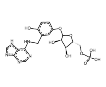 O=P(O)(O)OC[C@H]1OC(Oc2ccc(O)c(CNc3ncnc4nc[nH]c34)c2)[C@H](O)[C@@H]1O